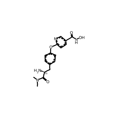 CN(C)C(=O)[C@@H](N)Cc1ccc(Oc2ccc(C(=O)NO)cn2)cc1